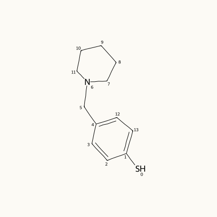 Sc1ccc(CN2CCCCC2)cc1